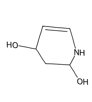 OC1C=CNC(O)C1